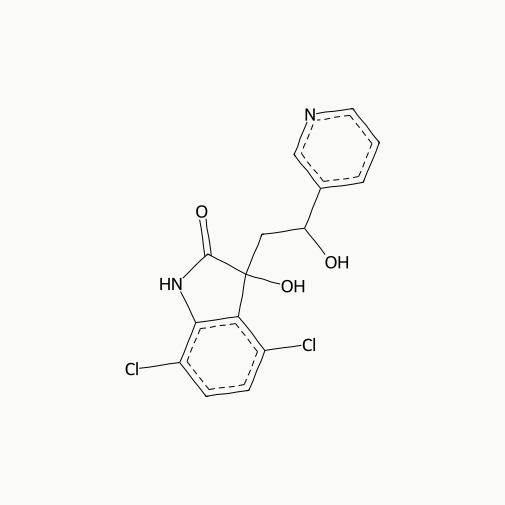 O=C1Nc2c(Cl)ccc(Cl)c2C1(O)CC(O)c1cccnc1